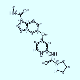 CNC(=O)n1ccc2cc(Oc3ccnc(NC(=O)N4CCCC4)c3)ccc21